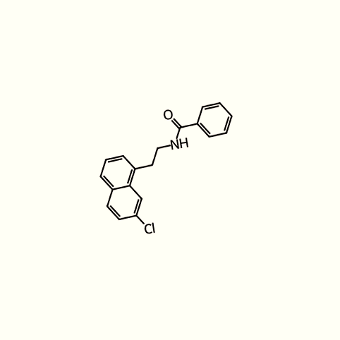 O=C(NCCc1cccc2ccc(Cl)cc12)c1ccccc1